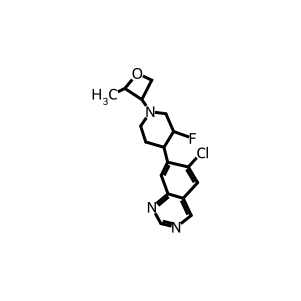 CC1OCC1N1CCC(c2cc3ncncc3cc2Cl)C(F)C1